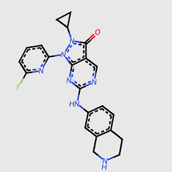 O=c1c2cnc(Nc3ccc4c(c3)CNCC4)nc2n(-c2cccc(F)n2)n1C1CC1